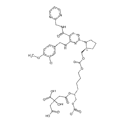 COc1ccc(CNc2nc(N3CCC[C@H]3COC(=O)OCCCCC(CO[N+](=O)[O-])OC(=O)CC(O)(CC(=O)O)C(=O)O)ncc2C(=O)NCc2ncccn2)cc1Cl